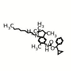 CCCCCCCCN1c2cc(C)c(NC(=O)OC(c3ccccc3)C3CC3)cc2C(C)CC1(C)C